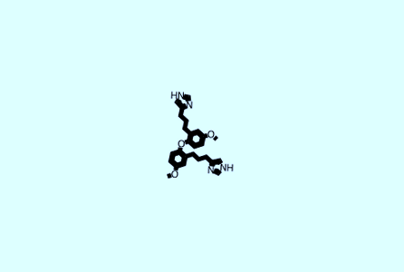 COc1ccc(Oc2ccc(OC)cc2CCCc2c[nH]cn2)c(CCCc2c[nH]cn2)c1